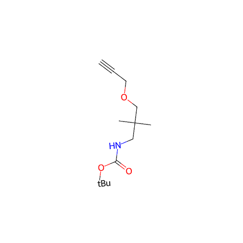 C#CCOCC(C)(C)CNC(=O)OC(C)(C)C